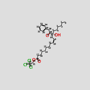 CCCCCC[C@@](O)(C/C=C\CCCCCCCC(=O)OCC(Cl)(Cl)Cl)C(=O)Cc1ccccc1